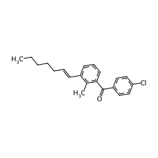 CCCCCC=Cc1cccc(C(=O)c2ccc(Cl)cc2)c1C